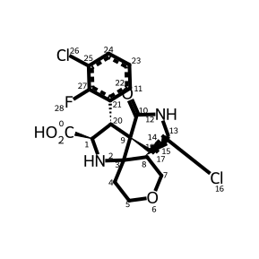 O=C(O)[C@@H]1NC2(CCOCC2)[C@@]2(C(=O)Nc3cc(Cl)ccc32)[C@H]1c1cccc(Cl)c1F